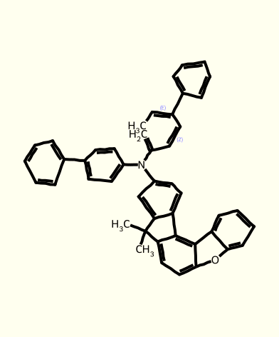 C=C(/C=C\C(=C/C)c1ccccc1)N(c1ccc(-c2ccccc2)cc1)c1ccc2c(c1)C(C)(C)c1ccc3oc4ccccc4c3c1-2